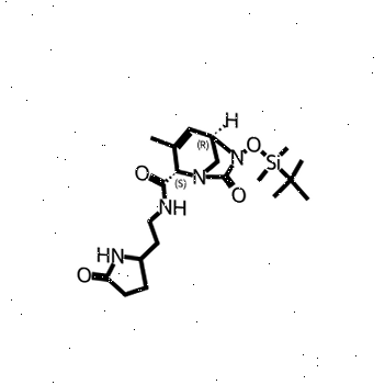 CC1=C[C@@H]2CN(C(=O)N2O[Si](C)(C)C(C)(C)C)[C@@H]1C(=O)NCCC1CCC(=O)N1